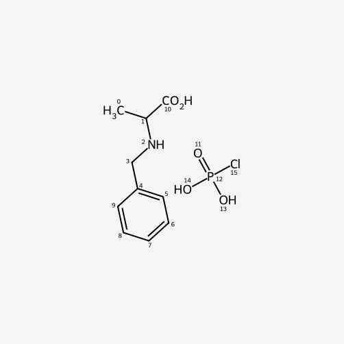 CC(NCc1ccccc1)C(=O)O.O=P(O)(O)Cl